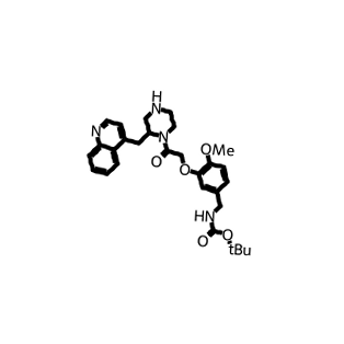 COc1ccc(CNC(=O)OC(C)(C)C)cc1OCC(=O)N1CCNCC1Cc1ccnc2ccccc12